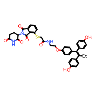 CCC(=C(c1ccc(O)cc1)c1ccc(OCCNC(=O)CSc2cccc3c2C(=O)N(C2CCC(=O)NC2=O)C3=O)cc1)c1ccc(O)cc1